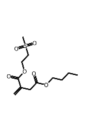 C=C(CC(=O)OCCCC)C(=O)OCCS(C)(=O)=O